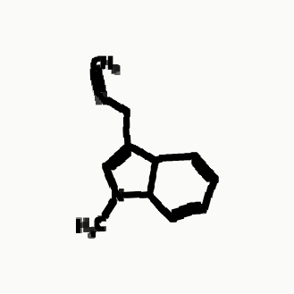 C=NCC1=CN(C)C2C=CC=CC12